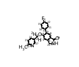 [2H]C([2H])(Oc1cc2c(cc1-c1ccc(F)cc1)C(=O)NC2)c1ccc(C)nc1